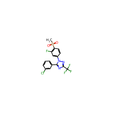 CS(=O)(=O)c1ccc(-n2nc(C(F)(F)F)nc2-c2cccc(Cl)c2)cc1F